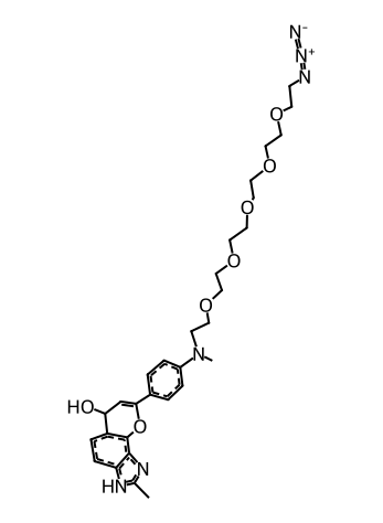 Cc1nc2c3c(ccc2[nH]1)C(O)C=C(c1ccc(N(C)CCOCCOCCOCCOCCOCCN=[N+]=[N-])cc1)O3